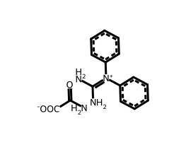 NC(=O)C(=O)[O-].NC(N)=[N+](c1ccccc1)c1ccccc1